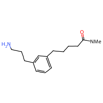 CNC(=O)CCCCc1cccc(CCCN)c1